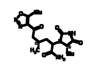 C[C@H](CC(=O)c1nnoc1C(C)(C)C)CC(C(N)=O)N1C(=O)NC(=O)[C@@H]1C(C)(C)C